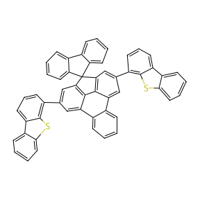 c1ccc2c(c1)-c1ccccc1C21c2cc(-c3cccc4c3sc3ccccc34)cc3c4ccccc4c4cc(-c5cccc6c5sc5ccccc56)cc1c4c23